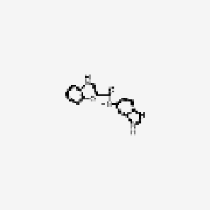 O=C(Nc1ccc2nc[nH]c2c1)C1=CNc2ccccc2O1